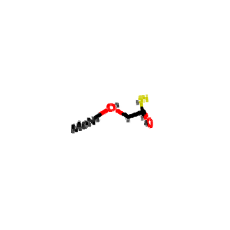 CNOCC(=O)S